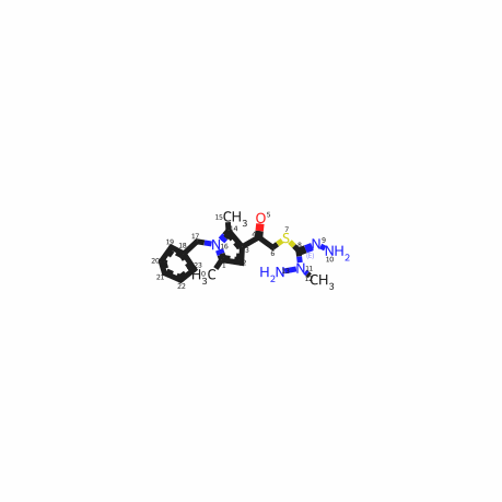 Cc1cc(C(=O)CS/C(=N/N)N(C)N)c(C)n1Cc1ccccc1